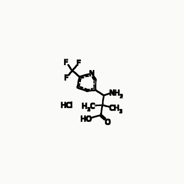 CC(C)(C(=O)O)C(N)c1ccc(C(F)(F)F)nc1.Cl